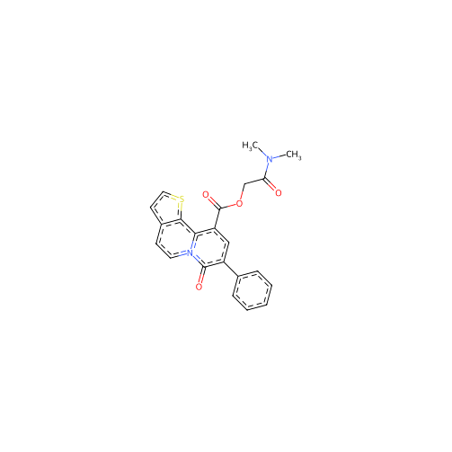 CN(C)C(=O)COC(=O)c1cc(-c2ccccc2)c(=O)n2ccc3ccsc3c12